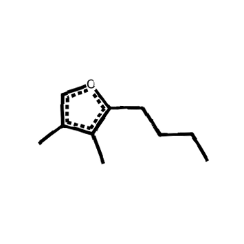 CCCCc1occ(C)c1C